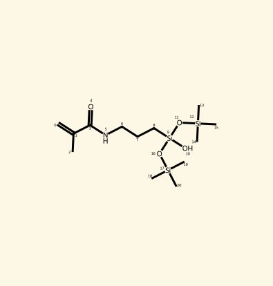 C=C(C)C(=O)NCCC[Si](O)(O[Si](C)(C)C)O[Si](C)(C)C